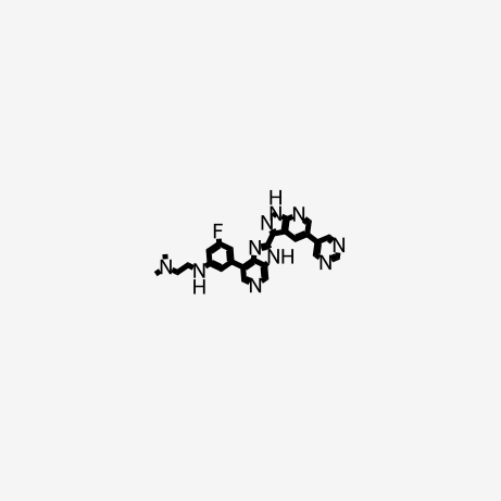 CN(C)CCNc1cc(F)cc(-c2cncc3[nH]c(-c4n[nH]c5ncc(-c6cncnc6)cc45)nc23)c1